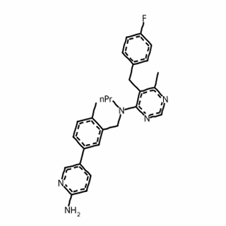 CCCN(Cc1cc(-c2ccc(N)nc2)ccc1C)c1ncnc(C)c1Cc1ccc(F)cc1